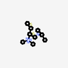 c1ccc(-c2ccc3c4ccccc4n(-c4cccc5c4sc4c(-c6ccc7sc8ccccc8c7c6)ccc(-c6nc(-c7ccccc7)nc(-c7ccccc7)n6)c45)c3c2)cc1